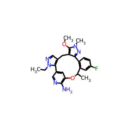 CCn1ncc2c1-c1cnc(N)c(c1)OC(C)c1cc(F)ccc1-c1nn(C)c(OC)c1C2